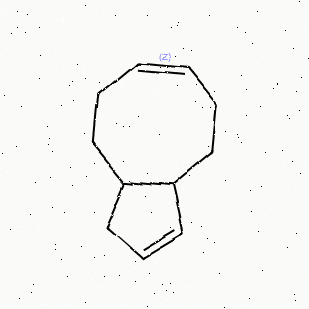 C1=CC2CC/C=C\CCC2C1